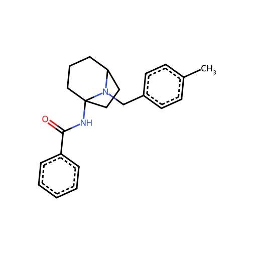 Cc1ccc(CN2C3CCCC2(NC(=O)c2ccccc2)CC3)cc1